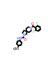 CC(C)(C)c1ccc(NC(=O)N2CCC3(CCN(C(=O)c4c(F)cccc4F)CC3)C2)cc1